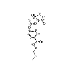 CCCCOC(=O)c1ccc(OC(=O)ON2C(=O)CCC2=O)cc1